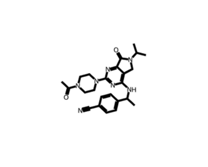 CC(=O)N1CCN(c2nc(NC(C)c3ccc(C#N)cc3)c3c(n2)C(=O)N(C(C)C)C3)CC1